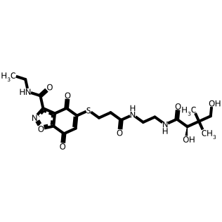 CCNC(=O)c1noc2c1C(=O)C(SCCC(=O)NCCNC(=O)[C@H](O)C(C)(C)CO)=CC2=O